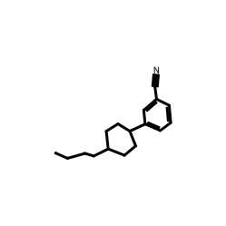 CCCCC1CCC(c2cccc(C#N)c2)CC1